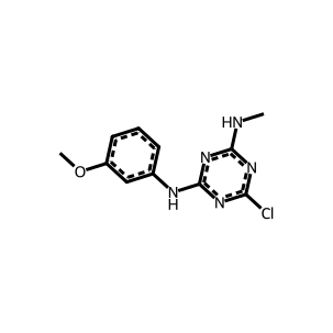 CNc1nc(Cl)nc(Nc2cccc(OC)c2)n1